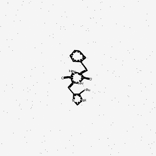 CCCCc1[nH]cnc1C=c1[nH]c(=O)c(=Cc2ccccc2)[nH]c1=O